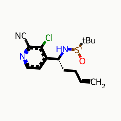 C=CCC[C@@H](N[S+]([O-])C(C)(C)C)c1ccnc(C#N)c1Cl